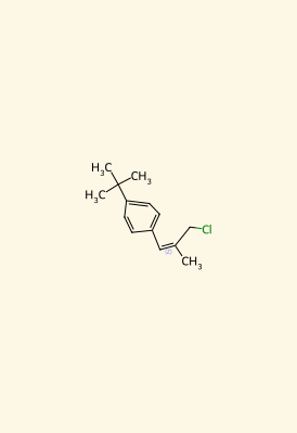 C/C(=C/c1ccc(C(C)(C)C)cc1)CCl